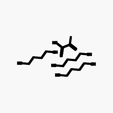 C=C(C)C(=O)O.OCCCCO.OCCCCO.OCCCCO